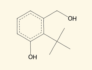 CC(C)(C)c1c(O)cccc1CO